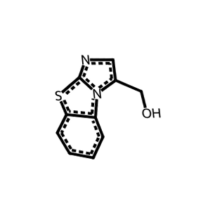 OCc1cnc2sc3ccccc3n12